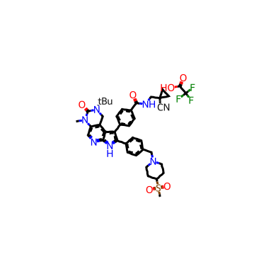 CN1C(=O)N(C(C)(C)C)Cc2c1cnc1[nH]c(-c3ccc(CN4CCC(S(C)(=O)=O)CC4)cc3)c(-c3ccc(C(=O)NCC4(C#N)CC4)cc3)c21.O=C(O)C(F)(F)F